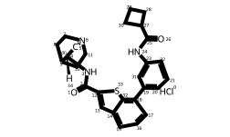 Cl.O=C(N[C@H]1CN2CCC1CC2)c1cc2cccc(-c3cccc(NC(=O)C4CCC4)c3)c2s1